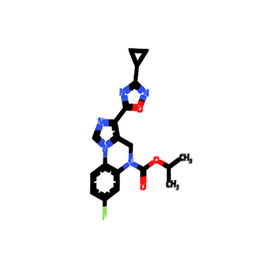 CC(C)OC(=O)N1Cc2c(-c3nc(C4CC4)no3)ncn2-c2ccc(F)cc21